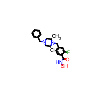 C[C@@H]1CN(Cc2ccccc2)C[C@H](C)N1Cc1ccc(C(=O)NO)c(F)c1